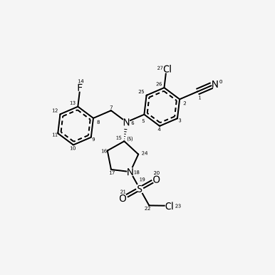 N#Cc1ccc(N(Cc2ccccc2F)[C@H]2CCN(S(=O)(=O)CCl)C2)cc1Cl